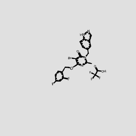 Cc1nc(OCc2ccc(F)cc2F)c(Br)c(=O)n1Cc1ccc2[nH]ncc2c1.O=C(O)C(F)(F)F